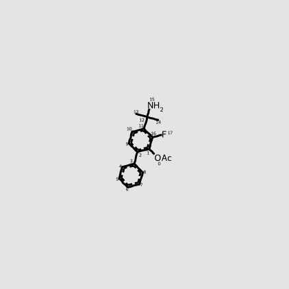 CC(=O)Oc1c(-c2ccccc2)ccc(C(C)(C)N)c1F